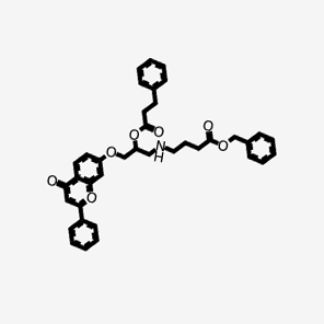 O=C(CCCNCC(COc1ccc2c(=O)cc(-c3ccccc3)oc2c1)OC(=O)CCc1ccccc1)OCc1ccccc1